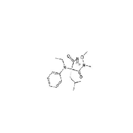 CCN(c1ccccc1)[C@@](CC(C)C)(C(N)=O)C(=O)N(C)OC